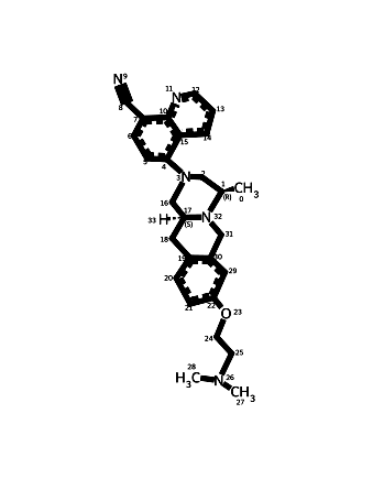 C[C@@H]1CN(c2ccc(C#N)c3ncccc23)C[C@@H]2Cc3ccc(OCCN(C)C)cc3CN21